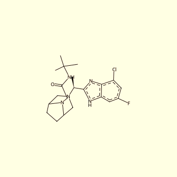 C[C@@H](c1nc2c(Cl)cc(F)cc2[nH]1)N1CC2CCC(C1)N2CC(=O)NC(C)(C)C